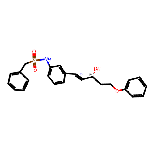 O=S(=O)(Cc1ccccc1)Nc1cccc(/C=C/[C@H](O)CCOc2[c]cccc2)c1